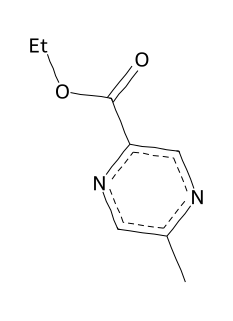 CCOC(=O)c1cnc(C)cn1